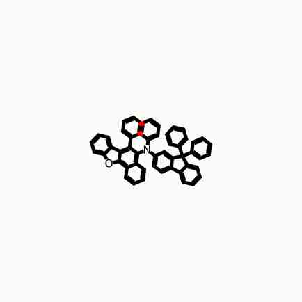 c1ccc(-c2c(N(c3ccccc3)c3ccc4c(c3)C(c3ccccc3)(c3ccccc3)c3ccccc3-4)c3ccccc3c3oc4ccccc4c23)cc1